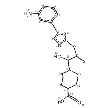 CC(Cc1ncc(-c2cccc(N)c2)s1)C(O)C1CCC(C(=O)O)CC1